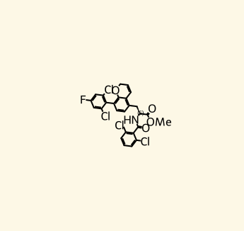 COC(=O)[C@H](Cc1ccc(-c2c(Cl)cc(F)cc2Cl)c2c1C=CCO2)NC(=O)c1c(Cl)cccc1Cl